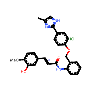 COc1ccc(/C=C/C(=O)Nc2ccccc2COc2ccc(-c3nc(C)c[nH]3)cc2)cc1O.Cl